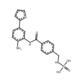 Nc1ccc(-c2cccs2)cc1NC(=O)c1ccc(CNP(=O)(O)O)cc1